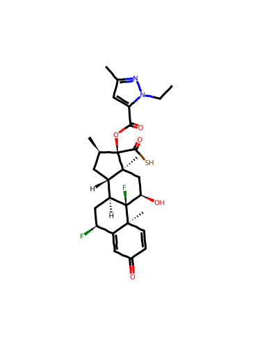 CCn1nc(C)cc1C(=O)O[C@]1(C(=O)S)[C@H](C)C[C@H]2[C@@H]3C[C@H](F)C4=CC(=O)C=C[C@]4(C)[C@@]3(F)[C@H](O)C[C@@]21C